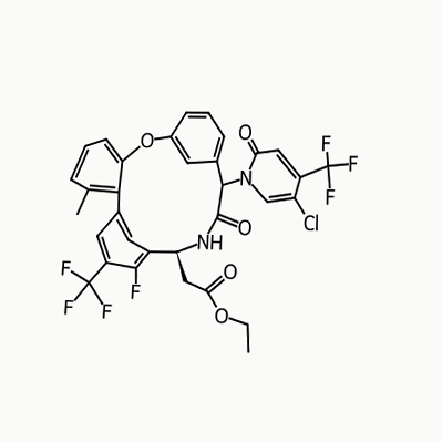 CCOC(=O)C[C@@H]1NC(=O)C(n2cc(Cl)c(C(F)(F)F)cc2=O)c2cccc(c2)Oc2cccc(C)c2-c2cc1c(F)c(C(F)(F)F)c2